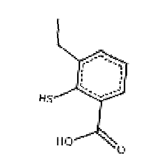 CCc1cccc(C(=O)O)c1S